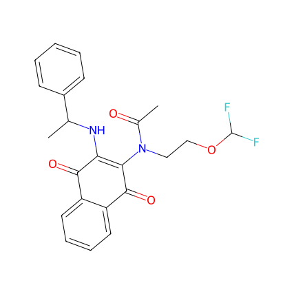 CC(=O)N(CCOC(F)F)C1=C(NC(C)c2ccccc2)C(=O)c2ccccc2C1=O